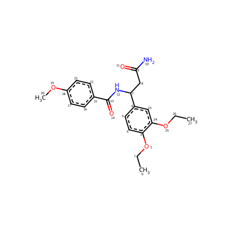 CCOc1ccc(C(CC(N)=O)NC(=O)c2ccc(OC)cc2)cc1OCC